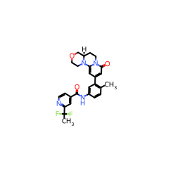 Cc1ccc(NC(=O)c2ccnc(C(C)(F)F)c2)cc1-c1cc2n(c(=O)c1)CC[C@H]1COCCN21